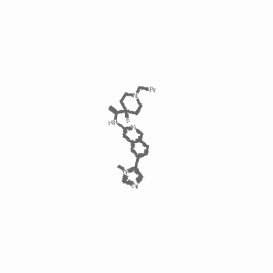 C=C(Nc1cc2cc(-c3cncn3C)ccc2cn1)C1(F)CCN(CC(C)C)CC1